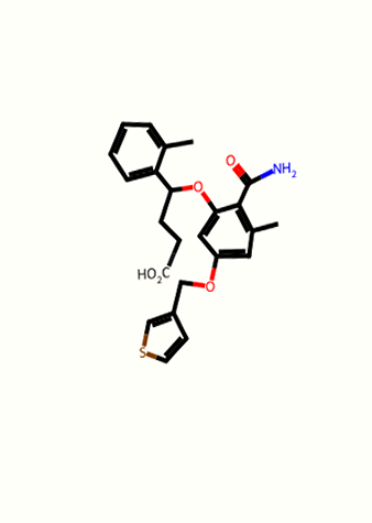 Cc1ccccc1C(CCC(=O)O)Oc1cc(OCc2ccsc2)cc(C)c1C(N)=O